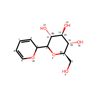 OC[C@H]1OC(C2C=CC=CO2)[C@H](O)[C@@H](O)[C@@H]1O